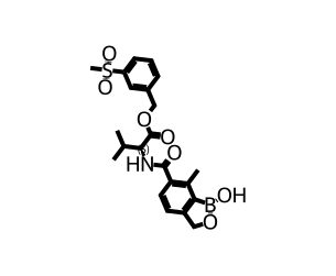 Cc1c(C(=O)N[C@H](C(=O)OCc2cccc(S(C)(=O)=O)c2)C(C)C)ccc2c1B(O)OC2